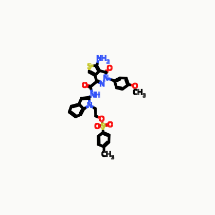 COc1ccc(-n2nc(C(=O)Nc3cc4ccccc4n3CCOS(=O)(=O)c3ccc(C)cc3)c3csc(N)c3c2=O)cc1